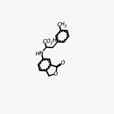 Cc1cccc(CC(Nc2ccc3c(c2)C(=O)OC3)C(=O)O)c1